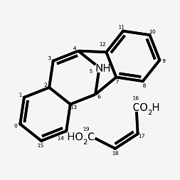 C1=CC2C=C3NC(c4ccccc43)C2C=C1.O=C(O)/C=C\C(=O)O